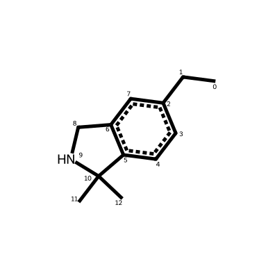 CCc1ccc2c(c1)CNC2(C)C